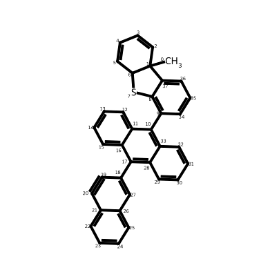 CC12C=CC=CC1Sc1c(-c3c4ccccc4c(-c4c#cc5ccccc5c4)c4ccccc34)cccc12